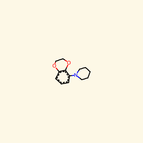 c1cc2c(c(N3CCCCC3)c1)OCCO2